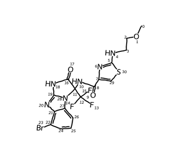 COCCNc1nc(C(=O)NC2(C(F)(F)F)C(=O)Nc3nc4c(Br)cccc4n32)cs1